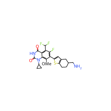 COc1c(-c2cc3c(s2)CCC(CN)C3)c(F)c(C(F)F)c2c(=O)[nH]c(=O)n(C3CC3)c12